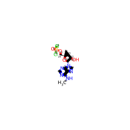 CNc1ncnc2c1ncn2[C@@H]1O[C@@]2(COP(=O)(Cl)Cl)CC2C1O